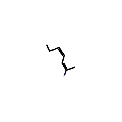 CC/C=C\C=C(/C)I